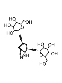 OC[C@H]1O[C@H](C#Cc2cc(C#C[C@H]3O[C@H](CO)[C@@H](O)[C@H](O)[C@@H]3O)c3[nH]ncc3c2)[C@@H](O)[C@@H](O)[C@@H]1O